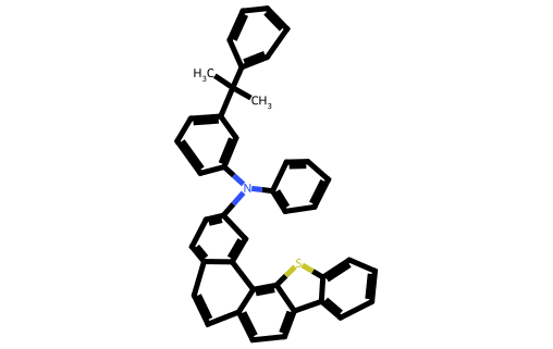 CC(C)(c1ccccc1)c1cccc(N(c2ccccc2)c2ccc3ccc4ccc5c6ccccc6sc5c4c3c2)c1